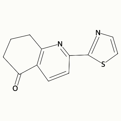 O=C1CCCc2nc(-c3nccs3)ccc21